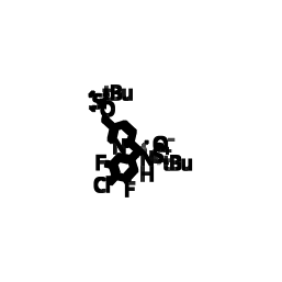 CC(C)(C)[S@@+]([O-])N[C@@](C)(c1cc(F)c(Cl)c(F)c1)c1ccc(CO[Si](C)(C)C(C)(C)C)cn1